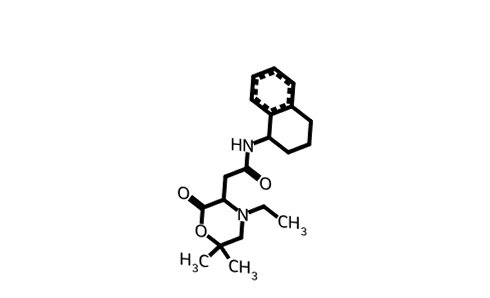 CCN1CC(C)(C)OC(=O)C1CC(=O)NC1CCCc2ccccc21